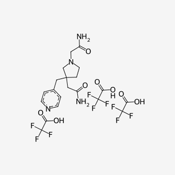 NC(=O)CN1CCC(CC(N)=O)(Cc2ccncc2)C1.O=C(O)C(F)(F)F.O=C(O)C(F)(F)F.O=C(O)C(F)(F)F